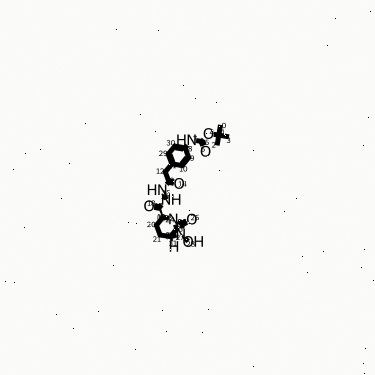 CC(C)(C)OC(=O)Nc1ccc(CC(=O)NNC(=O)[C@@H]2CC[C@@H]3CN2C(=O)N3O)cc1